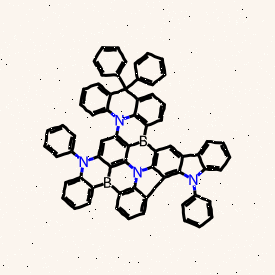 c1ccc(N2c3ccccc3B3c4c2cc2c5c4-n4c6c3cccc6c3c4c(cc4c6ccccc6n(-c6ccccc6)c43)B5c3cccc4c3N2c2ccccc2C4(c2ccccc2)c2ccccc2)cc1